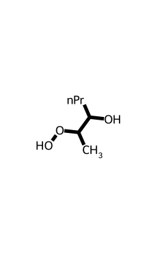 CCCC(O)C(C)OO